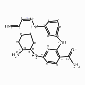 N=C/C=N\Nc1cccc(Nc2nc(N[C@@H]3CCCC[C@@H]3N)ccc2C(N)=O)c1